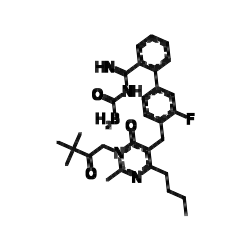 BC(=O)NC(=N)c1ccccc1-c1ccc(Cc2c(CCCC)nc(C)n(CC(=O)C(C)(C)C)c2=O)c(F)c1